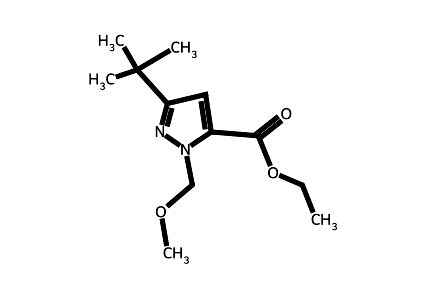 CCOC(=O)c1cc(C(C)(C)C)nn1COC